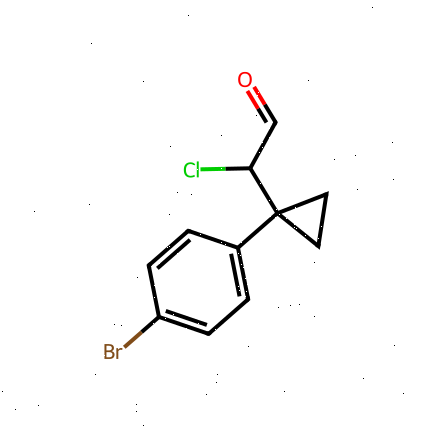 O=CC(Cl)C1(c2ccc(Br)cc2)CC1